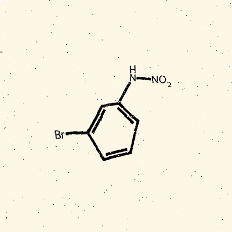 O=[N+]([O-])Nc1cccc(Br)c1